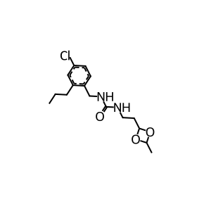 CCCc1cc(Cl)ccc1CNC(=O)NCCC1OC(C)O1